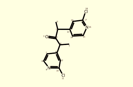 CC(C(=O)C(C)c1ccnc(Cl)c1)c1ccnc(Cl)c1